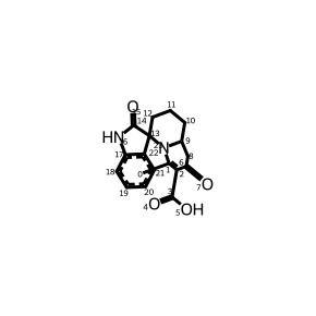 CC1=C(C(=O)O)C(=O)CC2CCCC3(C(=O)Nc4ccccc43)N12